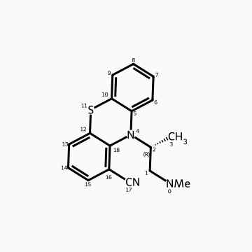 CNC[C@@H](C)N1c2ccccc2Sc2cccc(C#N)c21